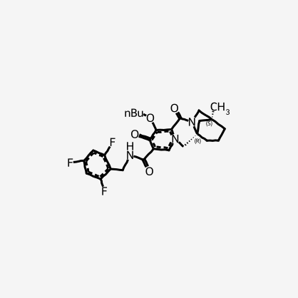 CCCCOc1c2n(cc(C(=O)NCc3c(F)cc(F)cc3F)c1=O)C[C@]13CCC[C@](C)(CN1C2=O)C3